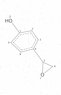 Oc1ccc(C2CO2)cc1